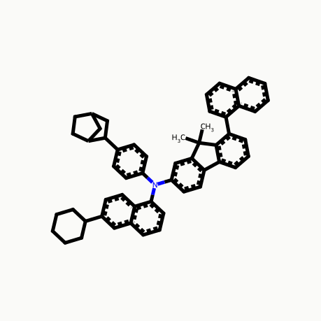 CC1(C)c2cc(N(c3ccc(C4CC5CCC4C5)cc3)c3cccc4cc(C5CCCCC5)ccc34)ccc2-c2cccc(-c3cccc4ccccc34)c21